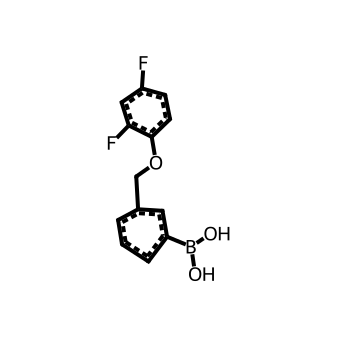 OB(O)c1cccc(COc2ccc(F)cc2F)c1